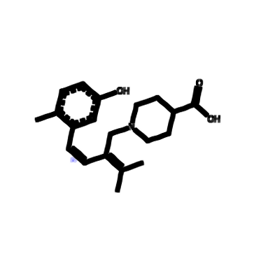 CC(C)=C(/C=C\c1cc(O)ccc1C)CN1CCC(C(=O)O)CC1